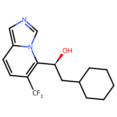 O[C@@H](CC1CCCCC1)c1c(C(F)(F)F)ccc2cncn12